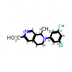 C[C@@H]1c2cnc(C(=O)O)cc2CCN1c1cc(F)cc(F)c1